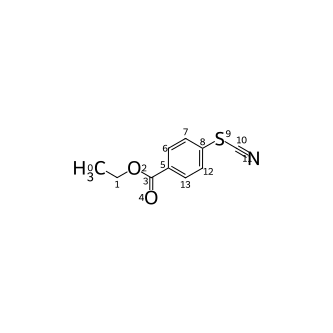 CCOC(=O)c1ccc(SC#N)cc1